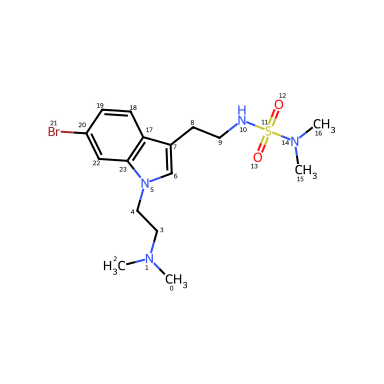 CN(C)CCn1cc(CCNS(=O)(=O)N(C)C)c2ccc(Br)cc21